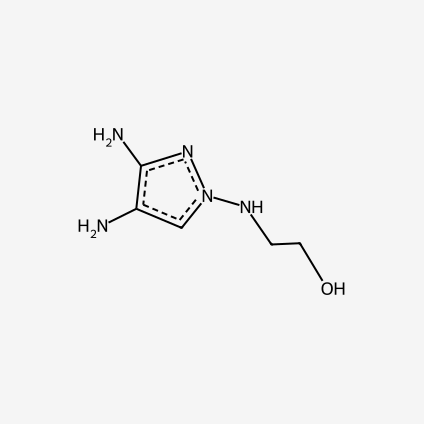 Nc1cn(NCCO)nc1N